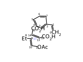 C=Cc1ccccc1.CCC=COC(C)=O.O=C(O)/C=C\C(=O)O